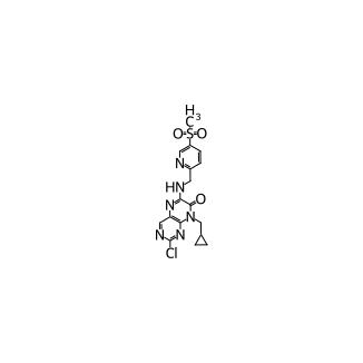 CS(=O)(=O)c1ccc(CNc2nc3cnc(Cl)nc3n(CC3CC3)c2=O)nc1